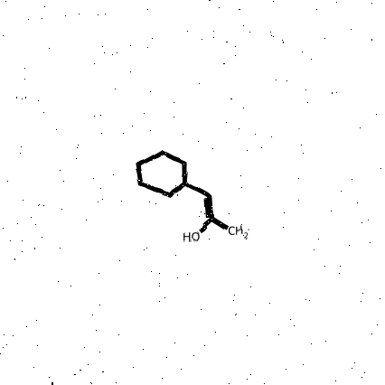 [CH2]C(O)=CC1CCCCC1